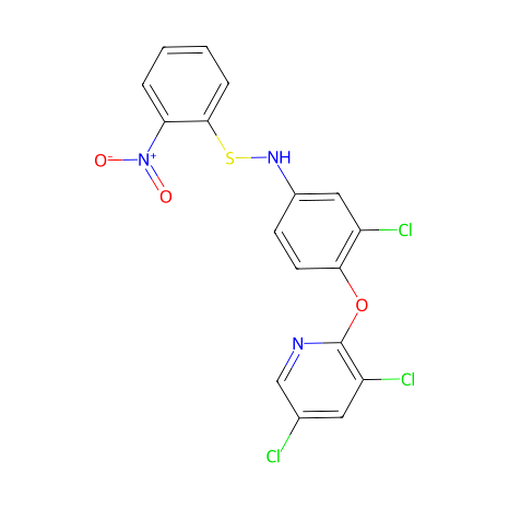 O=[N+]([O-])c1ccccc1SNc1ccc(Oc2ncc(Cl)cc2Cl)c(Cl)c1